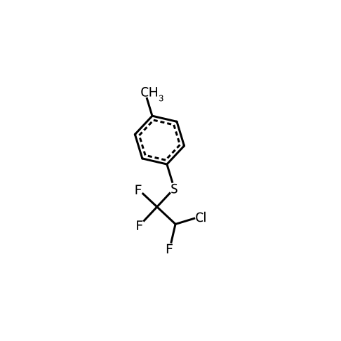 Cc1ccc(SC(F)(F)C(F)Cl)cc1